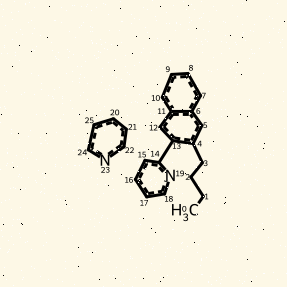 CCCCc1cc2ccccc2cc1-c1ccccn1.c1ccncc1